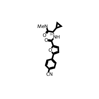 CNC(=O)[C@@H](NC(=O)c1ccc(-c2ccc(C#N)cc2)o1)C1CC1